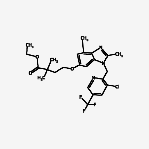 CCOC(=O)C(C)(C)CCOc1cc(C)c2nc(C)n(Cc3ncc(C(F)(F)F)cc3Cl)c2c1